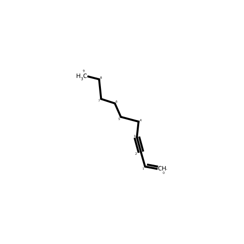 [CH]=CC#CCCCCCC